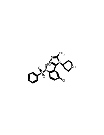 CCCCN(c1ccc(Cl)cc1-c1nnc(C)n1C1CCNCC1)S(=O)(=O)c1ccccc1